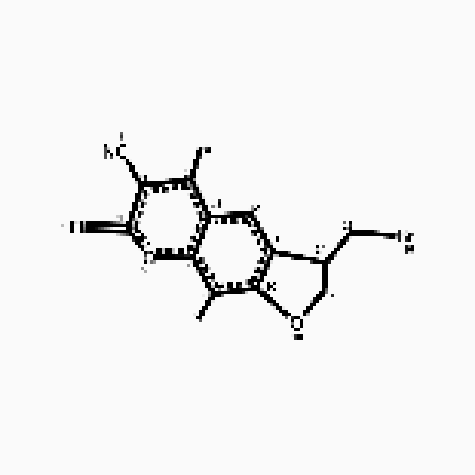 Cc1c(C#N)c(=O)oc2c(C)c3c(cc12)C(CBr)CO3